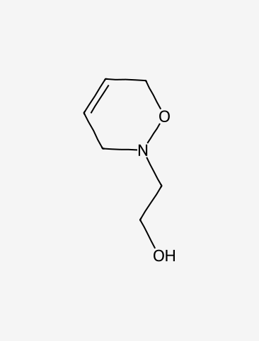 OCCN1CC=CCO1